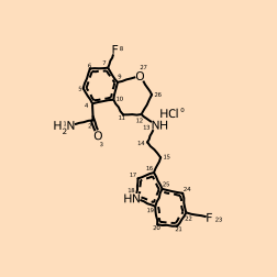 Cl.NC(=O)c1ccc(F)c2c1CC(NCCc1c[nH]c3ccc(F)cc13)CO2